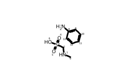 CNCS(=O)(=O)O.Nc1ccccc1